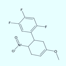 COC1=CCC([N+](=O)[O-])C(c2cc(F)c(F)cc2F)C1